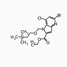 CCOC(=O)c1cc2nc(Br)cc(Cl)c2n1COCC[Si](C)(C)C